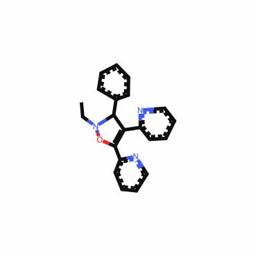 CCN1OC(c2ccccn2)=C(c2ccccn2)C1c1ccccc1